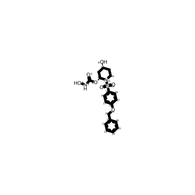 O=C(NO)O[C@@H]1C[C@H](O)CCN1S(=O)(=O)c1ccc(OCc2ccccc2)cc1